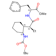 CC[C@H](C(=O)N[C@@H](Cc1ccccc1)C(=O)OC)[C@@H]1CCCC[C@@H]1NC(=O)OC(C)(C)C